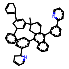 CC1(C2=CC(c3ccccc3)CC(C3=CC=CCC3)=C2)C=Cc2c(c(-c3cccc(C4CC=CC=N4)c3)c3ccccc3c2-c2cccc(-c3ccccn3)c2)C1